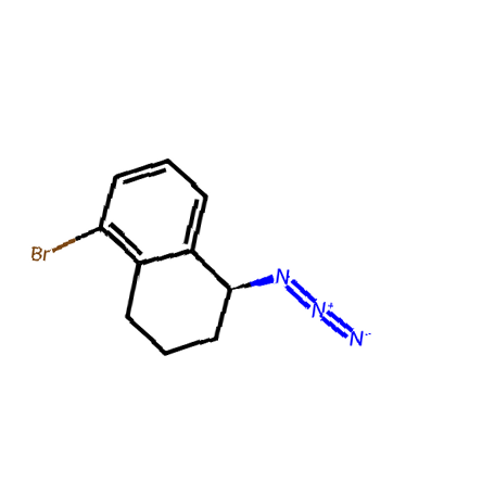 [N-]=[N+]=N[C@H]1CCCc2c(Br)cccc21